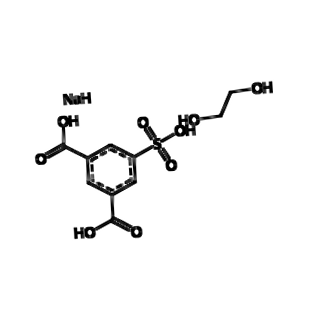 O=C(O)c1cc(C(=O)O)cc(S(=O)(=O)O)c1.OCCO.[NaH]